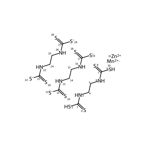 S=C(S)NCCNC(=S)S.S=C([S-])NCCNC(=S)[S-].S=C([S-])NCCNC(=S)[S-].[Mn+2].[Zn+2]